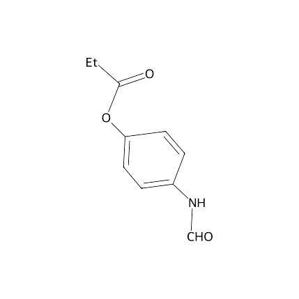 CCC(=O)Oc1ccc(NC=O)cc1